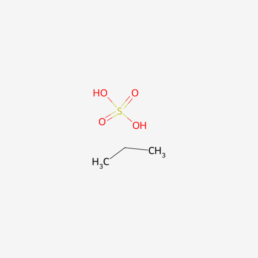 CCC.O=S(=O)(O)O